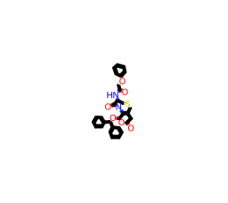 O=CCC1=C(C(=O)OC(c2ccccc2)c2ccccc2)N2C(=O)C(NC(=O)COc3ccccc3)C2SC1